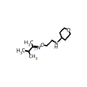 C/C(=N\OCCNC1CCOCC1)C(C)C